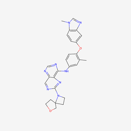 Cc1cc(Nc2ncnc3cnc(N4CCC45CCOC5)nc23)ccc1Oc1ccc2c(c1)ncn2C